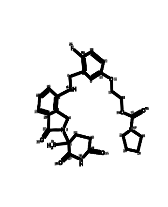 BC1(N2Cc3c(NCc4cc(OCCOC(=O)N5CCCC5)ccc4F)cccc3C2=O)CCC(=O)NC1=O